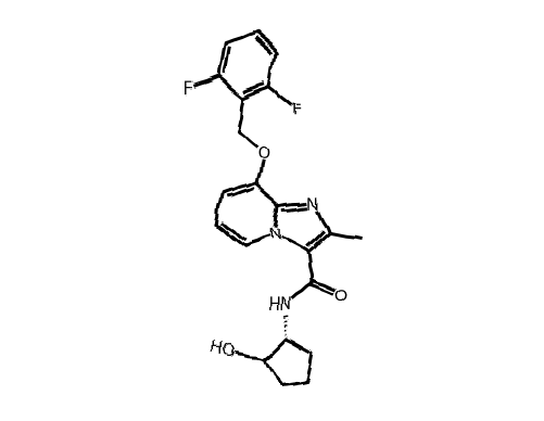 Cc1nc2c(OCc3c(F)cccc3F)cccn2c1C(=O)N[C@@H]1CCCC1O